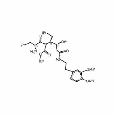 COc1ccc(CCNC(=O)C[C@H](O)[C@H](CC(C)C)N(C(=O)OC(C)(C)C)C(=O)[C@@H](N)CC(C)C)cc1OC